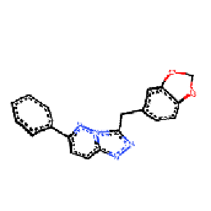 c1ccc(-c2ccc3nnc(Cc4ccc5c(c4)OCO5)n3n2)cc1